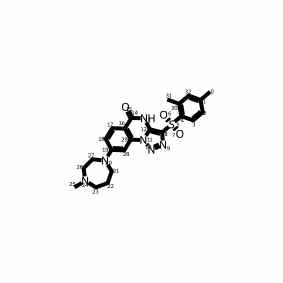 Cc1ccc(S(=O)(=O)c2nnn3c2[nH]c(=O)c2ccc(N4CCCN(C)CC4)cc23)c(C)c1